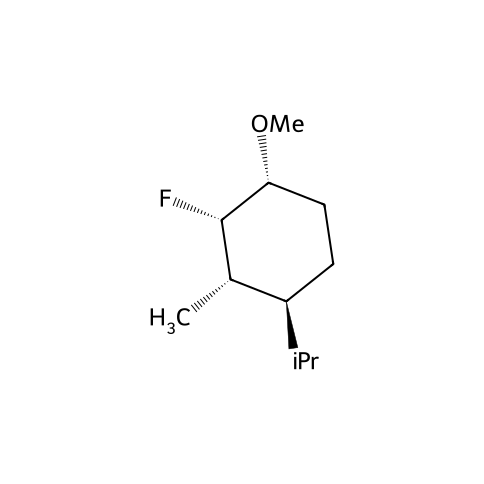 CO[C@@H]1CC[C@@H](C(C)C)[C@H](C)[C@@H]1F